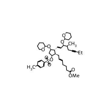 CCC#CCC(C)[C@@H](C=C[C@@H]1[C@@H](CC=CCCCC(=O)OC)[C@@H](OS(=O)(=O)c2ccc(C)cc2)C[C@H]1OC1CCCCO1)OC1CCCCO1